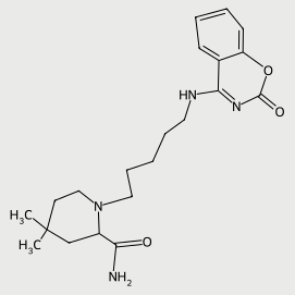 CC1(C)CCN(CCCCCNc2nc(=O)oc3ccccc23)C(C(N)=O)C1